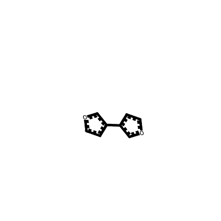 [c]1cc(-c2ccoc2)co1